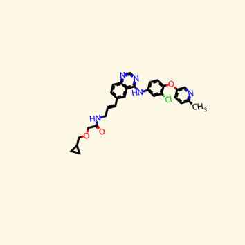 Cc1ccc(Oc2ccc(Nc3ncnc4ccc(C=CCNC(=O)COCC5CC5)cc34)cc2Cl)cn1